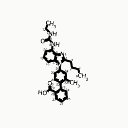 CCCCc1nc2c(NC(=O)NCC)cccc2n1-c1ccc(-c2ccccc2C(=O)O)c(C)c1